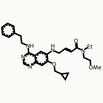 CCN(CCOC)C(=O)C=CCNc1cc2c(NCCc3ccccc3)ncnc2cc1OCC1CC1